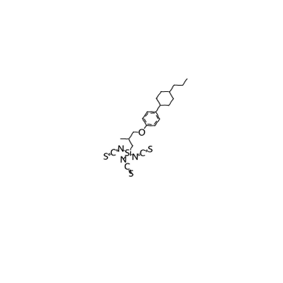 CCCC1CCC(c2ccc(OCC(C)C[Si](N=C=S)(N=C=S)N=C=S)cc2)CC1